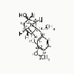 COCOC[C@@H]1[C@@H]2CC[C@@H]([C@@H](O)C2)N1[C@H](C)c1ccccc1